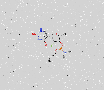 [C-]#[N+]CCOP(OC1[C@@H](CC)O[C@@H](c2c[nH]c(=O)[nH]c2=O)[C@H]1F)N(C(C)C)C(C)C